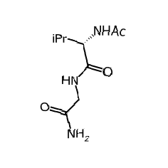 CC(=O)N[C@H](C(=O)NCC(N)=O)C(C)C